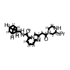 CC(C)[C@H]1CN(C(=O)Cc2cn3c(C(=O)NC[C@@H]4CC[C@@H]5C[C@H]4C5(C)C)cccc3n2)CCN1